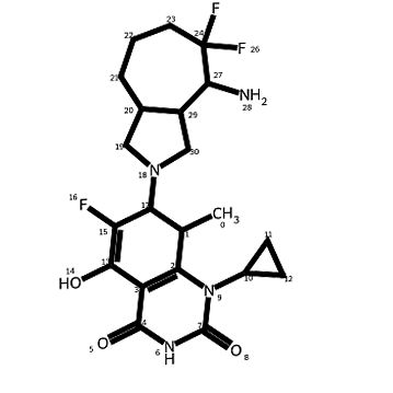 CC1c2c(c(=O)[nH]c(=O)n2C2CC2)C(O)=C(F)C1N1CC2CCCC(F)(F)C(N)C2C1